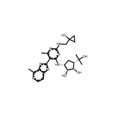 Cc1nc(NCC2(O)CC2)nc(N[C@@H]2C[C@H](C(C)(C)O)[C@@H](O)[C@H]2O)c1-c1nc2c(C)nccc2s1